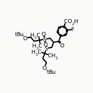 CC(C)(C)OCCC(C)(C)SCC(CS(=O)(=O)C(C)(C)CCOC(C)(C)C)C(=O)c1ccc(C(=O)O)c(F)c1